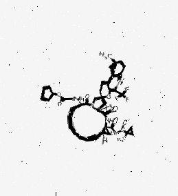 Cc1ccc2nc(C(F)(F)F)c3c(c2c1)CC[C@]1(C[C@H]2C(=O)N[C@]4(C(=O)N[S+]([O-])C5(C)CC5)C[C@H]4/C=C\CCCCC[C@H](NC(=O)OC4CCCC4)C(=O)N2C1)O3